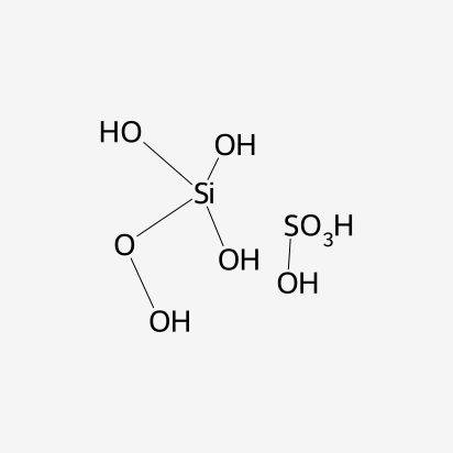 O=S(=O)(O)O.OO[Si](O)(O)O